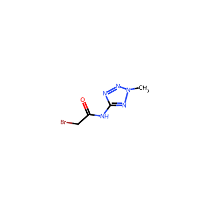 Cn1nnc(NC(=O)CBr)n1